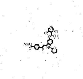 COC(=O)c1ccc(/C(F)=C/c2nn(C3CCCCO3)c3ccc(O[C@H](C)c4c(Cl)cncc4Cl)cc23)cc1